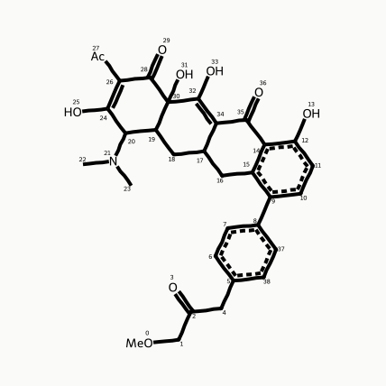 COCC(=O)Cc1ccc(-c2ccc(O)c3c2CC2CC4C(N(C)C)C(O)=C(C(C)=O)C(=O)C4(O)C(O)=C2C3=O)cc1